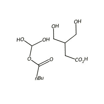 CCCCC(=O)OC(O)O.O=C(O)CC(CO)CO